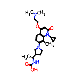 Cc1c(N2CCC([C@H](C)NC(=O)O)C2)ccc2c(OCCN(C)C)cc(=O)n(C3CC3)c12